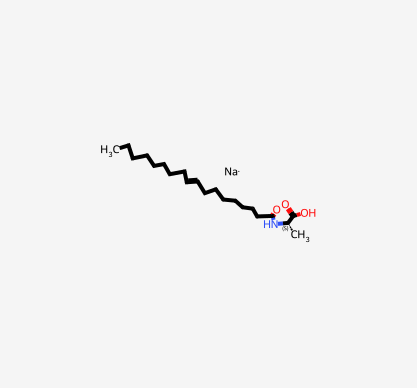 CCCCCCCCC=CCCCCCCCC(=O)N[C@@H](C)C(=O)O.[Na]